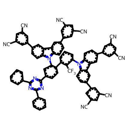 N#Cc1cc(C#N)cc(-c2ccc3c(c2)c2cc(-c4cc(C#N)cc(C#N)c4)ccc2n3-c2cc(-c3nc(-c4ccccc4)nc(-c4ccccc4)n3)ccc2-c2cccc(-n3c4ccc(-c5cc(C#N)cc(C#N)c5)cc4c4cc(-c5cc(C#N)cc(C#N)c5)ccc43)c2C(F)(F)F)c1